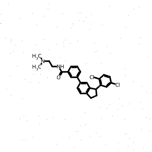 CN(C)CCNC(=O)c1cccc(-c2ccc3c(c2)C(c2cc(Cl)ccc2Cl)CC3)c1